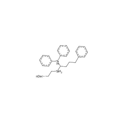 CCCCCCCCCCCC[SiH2]C(CCCc1ccccc1)[SiH](c1ccccc1)c1ccccc1